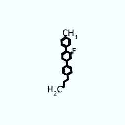 C=CCCc1ccc(C2C=C(F)C(c3ccc(C)cc3)=CC2)cc1